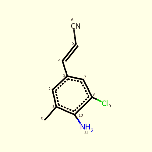 Cc1cc(C=CC#N)cc(Cl)c1N